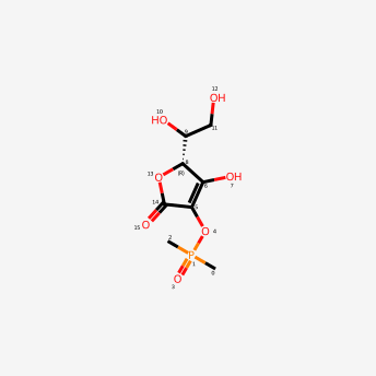 CP(C)(=O)OC1=C(O)[C@@H](C(O)CO)OC1=O